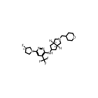 F[C@@H]1CCN(c2cc(C(F)(F)F)c(NC3C[C@@H]4CN(CC5CCOCC5)C[C@@H]4C3)nn2)C1